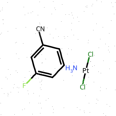 N.N#Cc1cccc(F)c1.[Cl][Pt][Cl]